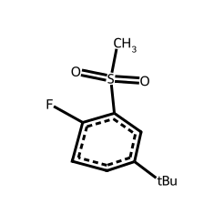 CC(C)(C)c1ccc(F)c(S(C)(=O)=O)c1